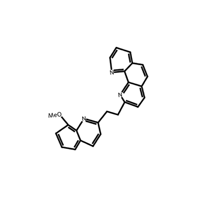 COc1cccc2ccc(CCc3ccc4ccc5cccnc5c4n3)nc12